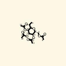 CCC1O[C@H](COC(C)=O)[C@@H](OC(C)=O)[C@H](OC(C)=O)[C@H]1OC(C)=O